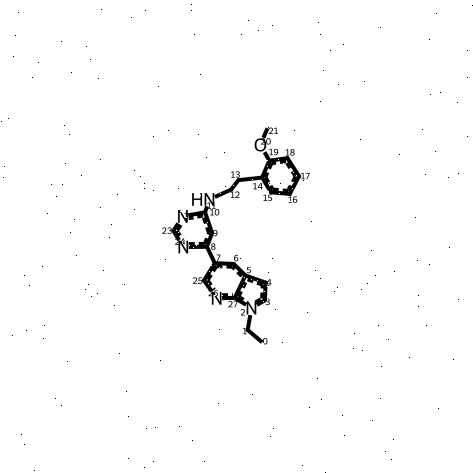 CCn1ccc2cc(-c3cc(NCCc4ccccc4OC)ncn3)cnc21